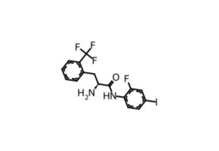 N[C@@H](Cc1ccccc1C(F)(F)F)C(=O)Nc1ccc(I)cc1F